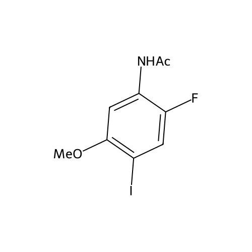 COc1cc(NC(C)=O)c(F)cc1I